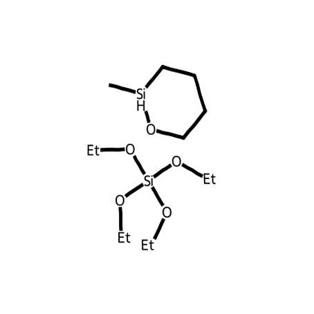 CCO[Si](OCC)(OCC)OCC.C[SiH]1CCCCO1